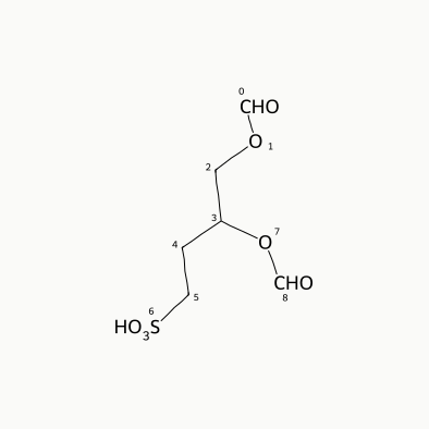 O=COCC(CCS(=O)(=O)O)OC=O